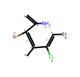 C=C(N)/C(Br)=C(C)\C(Cl)=C\CC